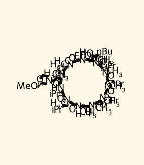 CCCC[C@@H](C)[C@@H](O)[C@H]1C(=O)N[C@@H](CC)C(=O)N(C)[C@H](C)C(=O)N(C)[C@@H]([C@@H](C)CN2CCO[C@H](COC)C2)C(=O)N[C@@H](C(C)C)C(=O)N(C)[C@@H](CCC(C)C)C(=O)N[C@@H](C)C(=O)N[C@H](C)C(=O)N(C)[C@@H](CC(C)C)C(=O)N(C)[C@@H](CC(C)C)C(=O)N(C)[C@@H](C(C)C)C(=O)N1C